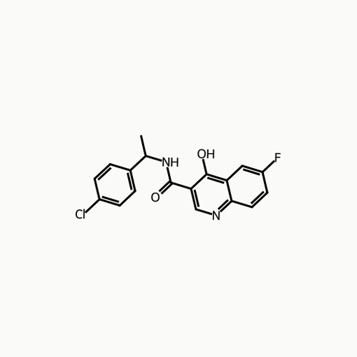 CC(NC(=O)c1cnc2ccc(F)cc2c1O)c1ccc(Cl)cc1